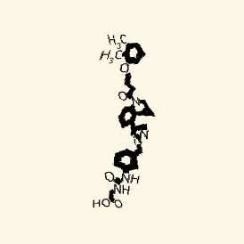 Cc1cccc(OCCCC(=O)N2CC3CC3c3c(-c4cnn(Cc5cccc(NC(=O)NCC(=O)O)c5)c4)cccc32)c1C